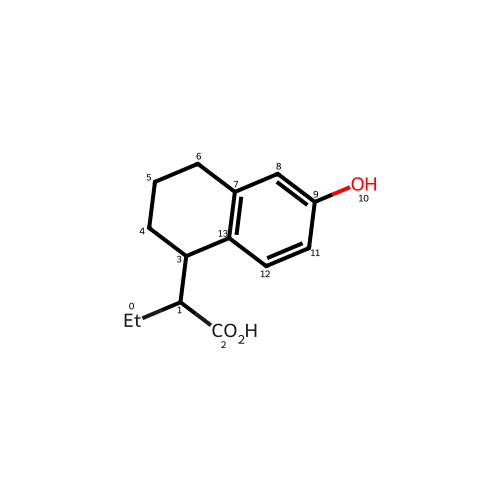 CCC(C(=O)O)C1CCCc2cc(O)ccc21